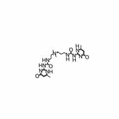 Cc1cc(=O)nc(NC(=O)NCCC[N+](C)(C)CCNC(=O)Nc2nc(=O)cc(C)[nH]2)[nH]1